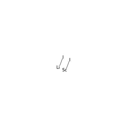 [Li][I].[Sc][I]